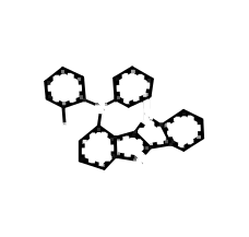 Oc1ccccc1N(c1ccccc1)c1cccc2[nH]c3c4ccccc4[nH]c3c12